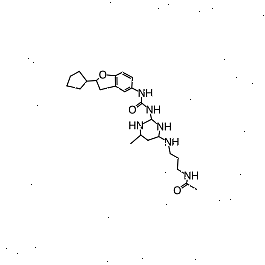 CC(=O)NCCCNC1CC(C)NC(NC(=O)Nc2ccc3c(c2)CC(C2CCCC2)O3)N1